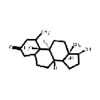 [CH2]C1CC(=O)CC2CC[C@@H]3[C@H](CC[C@]4(C)[C@@H](O)CC[C@@H]34)[C@@]12C